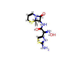 Nc1nc(C(=NO)C(=O)NC2C(=O)N3C=CCS[C@@H]23)cs1